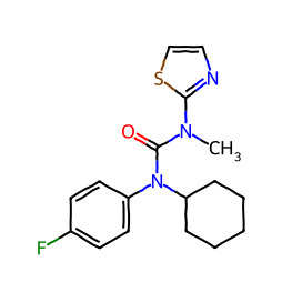 CN(C(=O)N(c1ccc(F)cc1)C1CCCCC1)c1nccs1